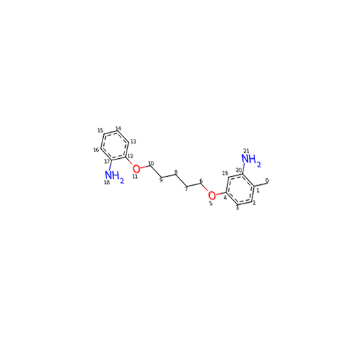 Cc1ccc(OCCCCCOc2ccccc2N)cc1N